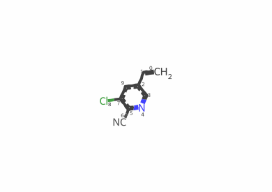 C=Cc1cnc(C#N)c(Cl)c1